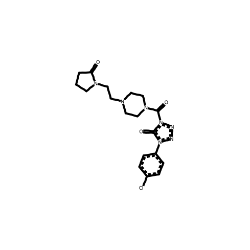 O=C1CCCN1CCN1CCN(C(=O)n2nnn(-c3ccc(Cl)cc3)c2=O)CC1